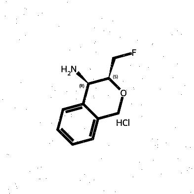 Cl.N[C@@H]1c2ccccc2CO[C@@H]1CF